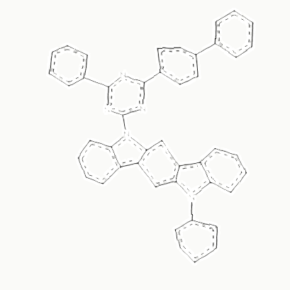 c1ccc(-c2ccc(-c3nc(-c4ccccc4)nc(-n4c5ccccc5c5cc6c(cc54)c4ccccc4n6-c4ccccc4)n3)cc2)cc1